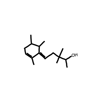 CC1=CCC(C)C(C)/C1=C\CC(C)(C)C(C)O